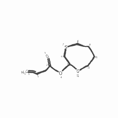 C=CC(=O)OC1CSCCCCO1